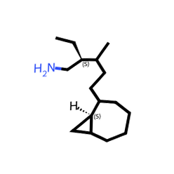 CC[C@H](CN)C(C)CCC1CCCCC2C[C@@H]12